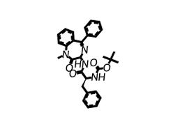 CN1C(=O)C(NC(=O)[C@H](Cc2ccccc2)NC(=O)OC(C)(C)C)N=C(c2ccccc2)c2ccccc21